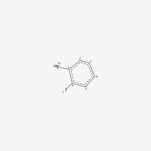 [18F]c1ccccc1I